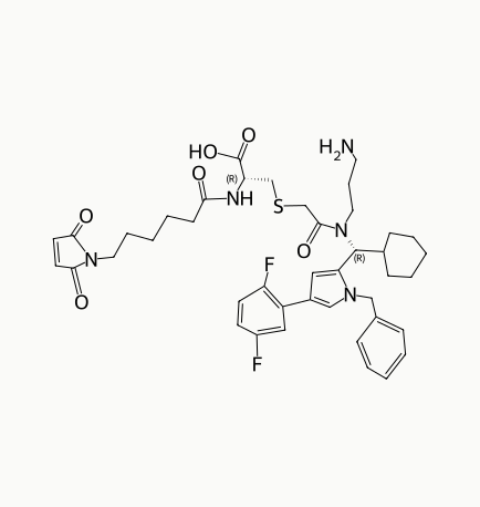 NCCCN(C(=O)CSC[C@H](NC(=O)CCCCCN1C(=O)C=CC1=O)C(=O)O)[C@@H](c1cc(-c2cc(F)ccc2F)cn1Cc1ccccc1)C1CCCCC1